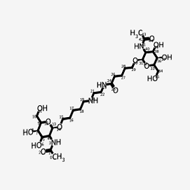 CC(=O)NC1C(O)[C@@H](O)C(CO)O[C@H]1OCCCCCNCCNC(=O)CCCCO[C@@H]1OC(CO)[C@H](O)C(O)C1NC(C)=O